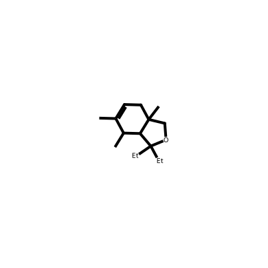 CCC1(CC)OCC2(C)CC=C(C)C(C)C21